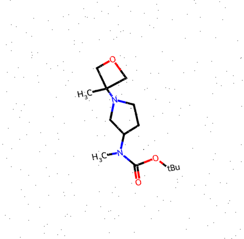 CN(C(=O)OC(C)(C)C)C1CCN(C2(C)COC2)C1